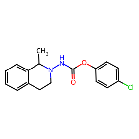 CC1c2ccccc2CCN1NC(=O)Oc1ccc(Cl)cc1